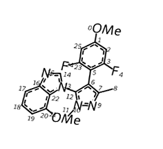 COc1cc(F)c(-c2c(C)nn(C)c2-n2cnc3cccc(OC)c32)c(F)c1